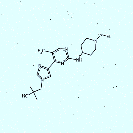 CCSN1CCC(Nc2ncc(C(F)(F)F)c(-c3cn(CC(C)(C)O)cn3)n2)CC1